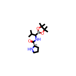 CC(C)C(NC(=O)[C@H]1CCCN1)B1OC(C)(C)C(C)(C)O1